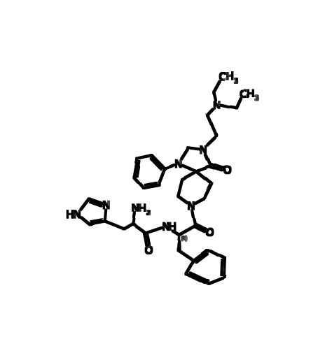 CCN(CC)CCN1CN(c2ccccc2)C2(CCN(C(=O)[C@@H](Cc3ccccc3)NC(=O)C(N)Cc3c[nH]cn3)CC2)C1=O